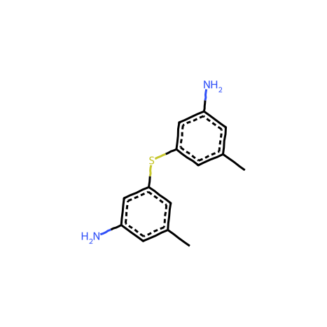 Cc1cc(N)cc(Sc2cc(C)cc(N)c2)c1